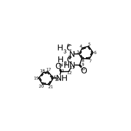 CN(C)c1ccccc1C(=O)NCC(=O)Nc1ccccc1